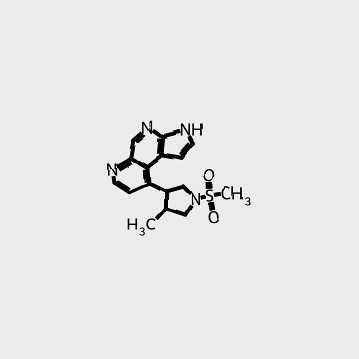 CC1CN(S(C)(=O)=O)CC1c1ccnc2cnc3[nH]ccc3c12